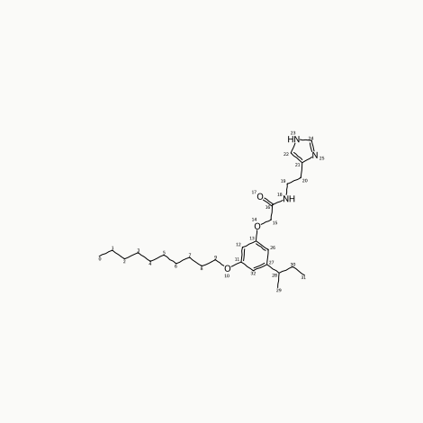 CCCCCCCCCCOc1cc(OCC(=O)NCCc2c[nH]cn2)cc(C(C)CC)c1